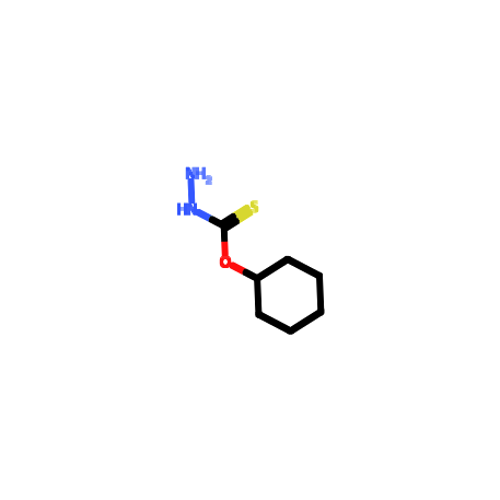 NNC(=S)OC1CCCCC1